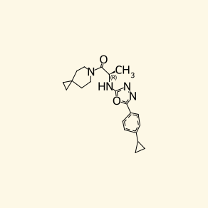 C[C@@H](Nc1nnc(-c2ccc(C3CC3)cc2)o1)C(=O)N1CCC2(CC1)CC2